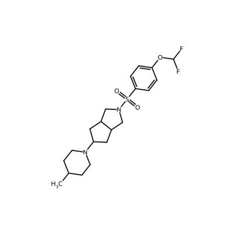 CC1CCN(C2CC3CN(S(=O)(=O)c4ccc(OC(F)F)cc4)CC3C2)CC1